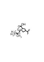 CC(C)(C)OC(=O)N1CC(C(F)F)CC1C(=O)O